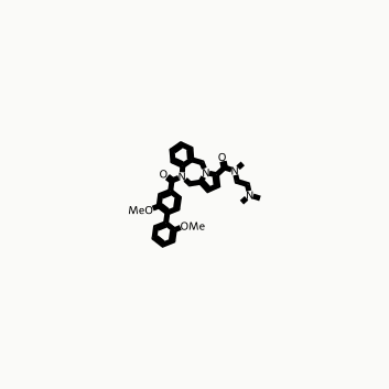 COc1ccccc1-c1ccc(C(=O)N2Cc3ccc(C(=O)N(C)CCN(C)C)n3Cc3ccccc32)cc1OC